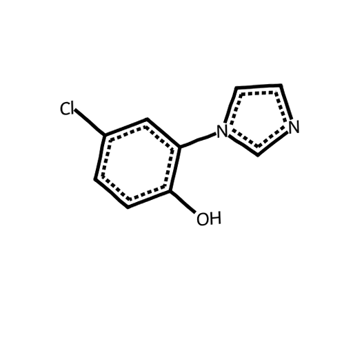 Oc1ccc(Cl)cc1-n1ccnc1